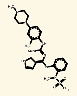 CN/C(=N\C(Nc1ccccc1N(C)S(C)(=O)=O)=C1\C=CNC1)Nc1ccc(N2CCN(C)CC2)cc1C